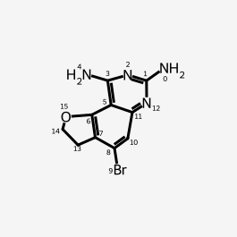 Nc1nc(N)c2c3c(c(Br)cc2n1)CCO3